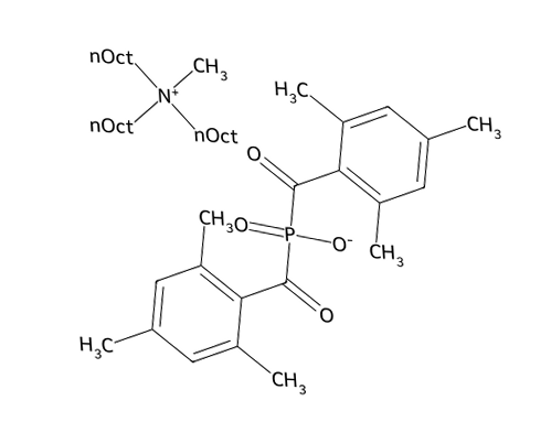 CCCCCCCC[N+](C)(CCCCCCCC)CCCCCCCC.Cc1cc(C)c(C(=O)P(=O)([O-])C(=O)c2c(C)cc(C)cc2C)c(C)c1